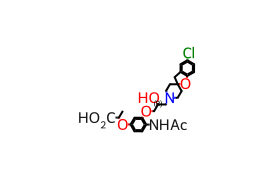 CC(=O)Nc1ccc(OC(C)C(=O)O)cc1OC[C@H](O)CN1CCC2(CC1)Cc1cc(Cl)ccc1O2